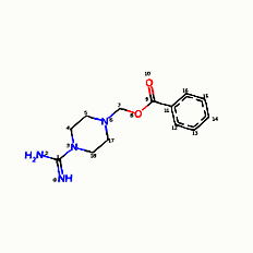 N=C(N)N1CCN(COC(=O)c2ccccc2)CC1